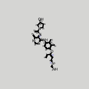 C=C/C(=C\C=N\C=N)Oc1ccc(NC2=NC=NC(=C)/C2=N\C(=C)N2CC[C@H](O)C2)c(C)c1C